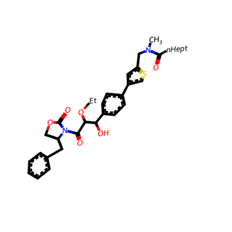 CCCCCCCC(=O)N(C)Cc1cc(-c2ccc(C(O)C(OCC)C(=O)N3C(=O)OCC3Cc3ccccc3)cc2)cs1